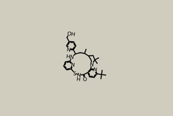 CC1CC(c2ccc(CO)cn2)Nc2cccc(n2)SNC(=O)c2ccc(C(C)(C)C)nc2N2CC1CC2(C)C